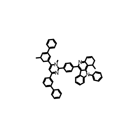 CC1C=C(c2ccccc2)C=C(C2=CC(c3cccc(-c4ccccc4)c3)=NC(c3ccc(-c4nc5c(c6c4c4ccccc4n6-c4ccccc4)C(C)CC=C5)cc3)N2C)C1